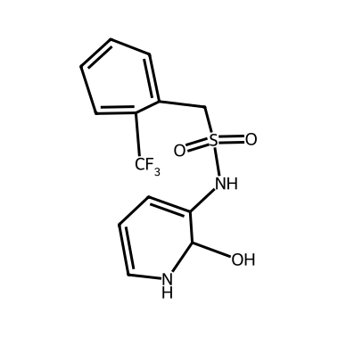 O=S(=O)(Cc1ccccc1C(F)(F)F)NC1=CC=CNC1O